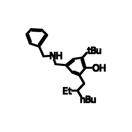 CCCCC(CC)Cc1cc(CNCc2ccccc2)cc(C(C)(C)C)c1O